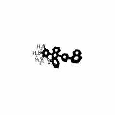 Bc1cc(-c2c3ccccc3c(-c3ccc(-c4cccc5ccccc45)cc3)c3ccccc23)c(B)c(B)c1B